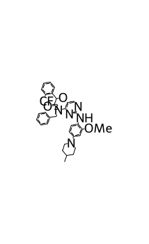 COc1cc(N2CCC(C)CC2)ccc1Nc1ncc2c(n1)N(Cc1ccccc1)C(=O)C(c1ccccc1C(F)(F)F)O2